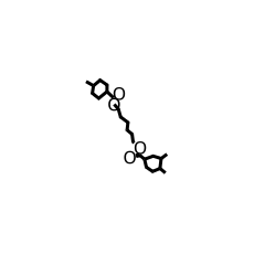 CC1CCC(C(=O)OCCCCCCOC(=O)C2CCC(C)C(C)C2)CC1